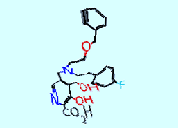 O=C(O)c1ncc(CN(CCOCc2ccccc2)CCc2ccc(F)cc2)c(CO)c1O